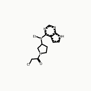 CCN(c1ncnc2[nH]ccc12)C1CCN(C(=O)CCl)C1